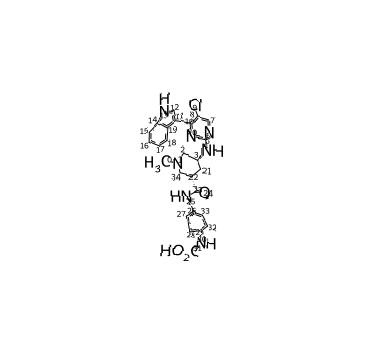 CN1C[C@@H](Nc2ncc(Cl)c(-c3c[nH]c4ccccc34)n2)C[C@H](C(=O)Nc2ccc(NC(=O)O)cc2)C1